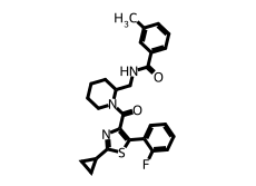 Cc1cccc(C(=O)NCC2CCCCN2C(=O)c2nc(C3CC3)sc2-c2ccccc2F)c1